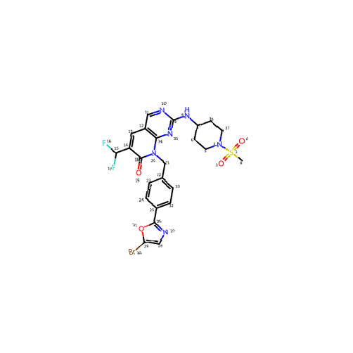 CS(=O)(=O)N1CCC(Nc2ncc3cc(C(F)F)c(=O)n(Cc4ccc(-c5ncc(Br)o5)cc4)c3n2)CC1